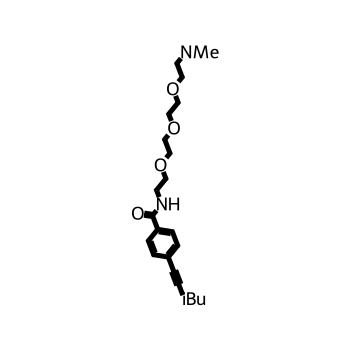 CCC(C)C#Cc1ccc(C(=O)NCCOCCOCCOCCNC)cc1